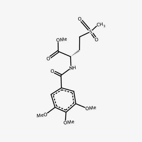 COC(=O)[C@H](CCS(C)(=O)=O)NC(=O)c1cc(OC)c(OC)c(OC)c1